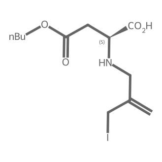 C=C(CI)CN[C@@H](CC(=O)OCCCC)C(=O)O